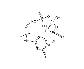 C=CC(C)(C)Nc1cc[nH]c(=O)n1.O=P(O)(O)OP(=O)(O)OP(=O)(O)O